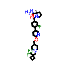 C[C@@]1(C(N)=O)CCCN1C(=O)c1ccc(-c2ccc(OCC3CCN(CC4(C(F)(F)F)CCC4)CC3)nc2)c(F)c1